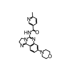 Cc1ccc(C(=O)NC2=Nc3cc(N4CCOCC4)ccc3C3=NCCN23)cn1